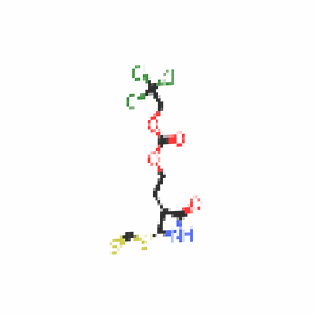 O=C(OCC[C@H]1C(=O)N[C@@H]1SC=S)OCC(Cl)(Cl)Cl